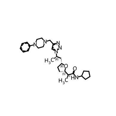 C[C@H](C(=O)NC1CCCC1)[C@@H]1CC[C@H](C[C@@H](C)n2cc(CN3CCN(c4ccccc4)CC3)nn2)O1